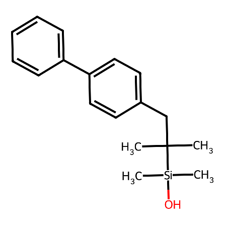 CC(C)(Cc1ccc(-c2ccccc2)cc1)[Si](C)(C)O